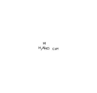 Cl.I.[AlH3].[CsH]